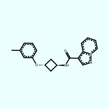 Cc1cccc(O[C@H]2C[C@H](NC(=O)c3cnn4ccccc34)C2)c1